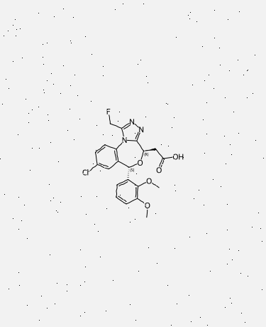 COc1cccc([C@H]2O[C@H](CC(=O)O)c3nnc(CF)n3-c3ccc(Cl)cc32)c1OC